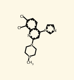 CN1CCN(c2cc(-n3ccnc3)c3ccc(Cl)c(Cl)c3n2)CC1